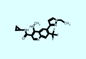 CCn1ccc(-c2cc3c(NC)c(C(=O)NC4CC4)cnc3cc2C(F)(F)F)n1